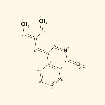 C=C\N=C/C(=C\C(C=C)=C\C)c1ccccc1